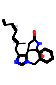 C=C/C=C\C=C(/C)Cc1ncn(Cc2ccccc2)c1C1CC(=O)NC1=O